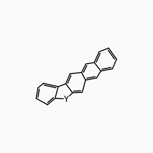 c1ccc2[c](c1)[Y][c]1cc3cc4ccccc4cc3cc1-2